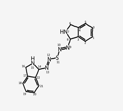 c1ccc2c(c1)CNC2N=NSN=NC1NCc2ccccc21